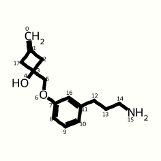 C=C1CC(O)(COc2cccc(CCCN)c2)C1